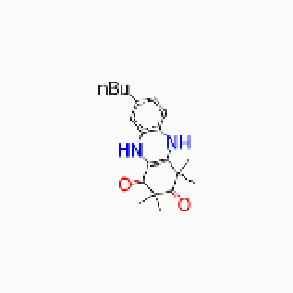 CCCCc1ccc2c(c1)NC1=C(N2)C(C)(C)C(=O)C(C)(C)C1=O